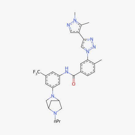 CCCN1CC2CC1CN2c1cc(NC(=O)c2ccc(C)c(-n3cc(-c4cnn(C)c4C)nn3)c2)cc(C(F)(F)F)c1